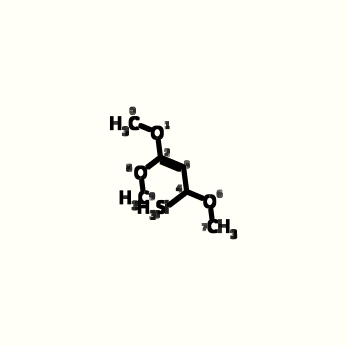 COC(=CC([SiH3])OC)OC